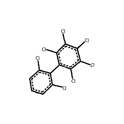 Clc1cccc(Cl)c1-c1c(Cl)c(Cl)c(Cl)c(Cl)c1Cl